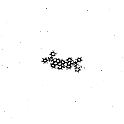 CC1C=CC=CC1c1nc(-c2ccccc2)nc(-c2c3ccccc3c(-c3cccc4c3sc3cccc(-c5c6ccccc6c(-c6nc(-c7ccccc7)nc(-c7ccccc7)n6)c6ccccc56)c34)c3ccccc23)n1